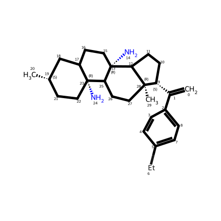 C=C(c1ccc(CC)cc1)[C@H]1CCC2[C@]3(N)CCC4C[C@@H](C)CC[C@]4(N)C3CC[C@@]21C